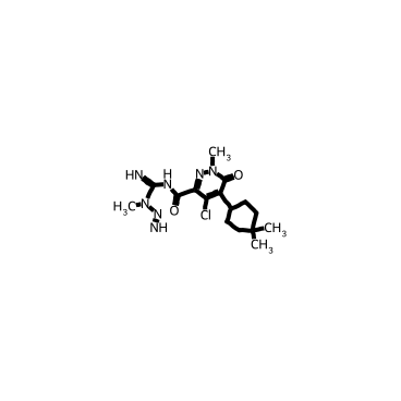 CN(N=N)C(=N)NC(=O)c1nn(C)c(=O)c(C2CCC(C)(C)CC2)c1Cl